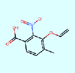 C=COc1c(C)ccc(C(=O)O)c1[N+](=O)[O-]